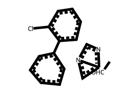 CC=O.Clc1ccccc1-c1ccccc1.c1nc2cn1-2